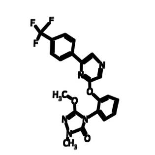 COc1nn(C)c(=O)n1-c1ccccc1Oc1cncc(-c2ccc(C(F)(F)F)cc2)n1